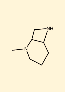 CN1CCCC2NCC21